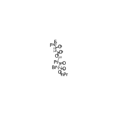 CCCOC(=O)C(Br)C(=O)C(F)COC(=O)CC(=O)C(F)F